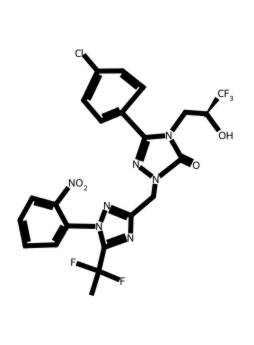 CC(F)(F)c1nc(Cn2nc(-c3ccc(Cl)cc3)n(C[C@H](O)C(F)(F)F)c2=O)nn1-c1ccccc1[N+](=O)[O-]